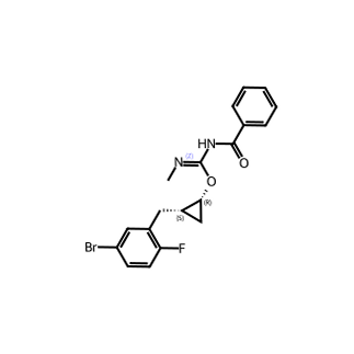 C/N=C(/NC(=O)c1ccccc1)O[C@@H]1C[C@@H]1Cc1cc(Br)ccc1F